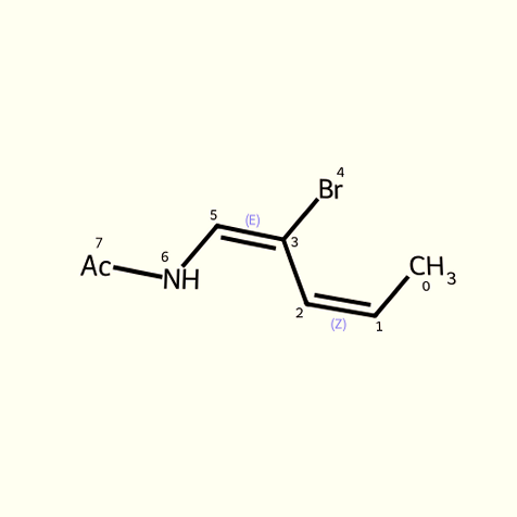 C/C=C\C(Br)=C/NC(C)=O